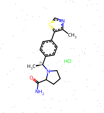 Cc1ncsc1-c1ccc([C@H](C)N2CCCC2C(N)=O)cc1.Cl